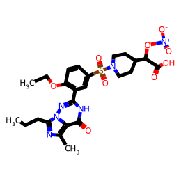 CCCc1nc(C)c2c(=O)[nH]c(-c3cc(S(=O)(=O)N4CCC(C(O[N+](=O)[O-])C(=O)O)CC4)ccc3OCC)nn12